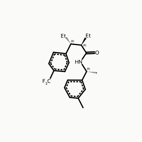 CC[C@@H](C(=O)N[C@H](C)c1cccc(C)c1)[C@@H](CC)c1ccc(C(F)(F)F)cc1